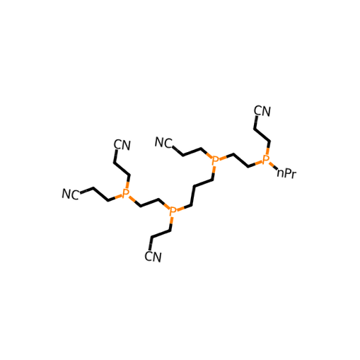 CCCP(CCC#N)CCP(CCC#N)CCCP(CCC#N)CCP(CCC#N)CCC#N